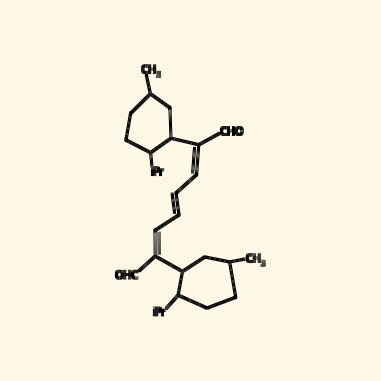 CC1CCC(C(C)C)C(\C(C=O)=C/C=C/C=C(/C=O)C2CC(C)CCC2C(C)C)C1